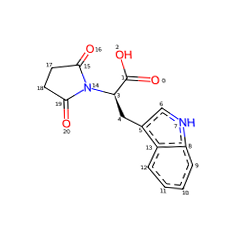 O=C(O)[C@@H](Cc1c[nH]c2ccccc12)N1C(=O)CCC1=O